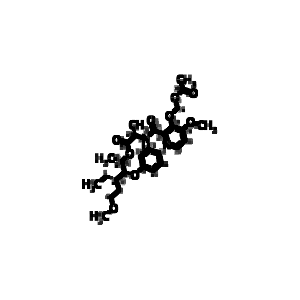 CC[C@@H](CCOC)[C@@H](Oc1ccccc1)[C@H](C)OC(=O)[C@H](C)NC(=O)c1nccc(OC)c1OCOC(C)=O